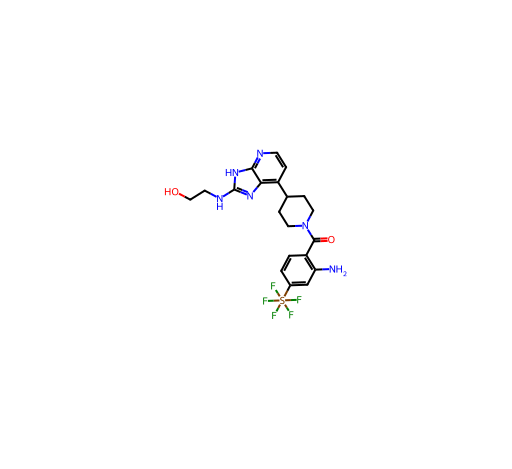 Nc1cc(S(F)(F)(F)(F)F)ccc1C(=O)N1CCC(c2ccnc3[nH]c(NCCO)nc23)CC1